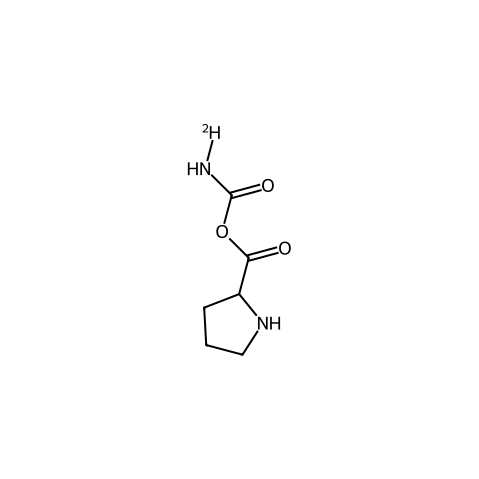 [2H]NC(=O)OC(=O)C1CCCN1